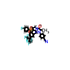 CC(Nc1ccc(C#N)cc1)C(=O)N1CCC2(S(=O)(=O)c3ccc(F)cc3)c3ccc(C(F)(C(F)(F)F)C(F)(F)F)cc3CC12